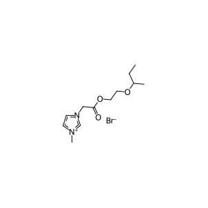 CCC(C)OCCOC(=O)Cn1cc[n+](C)c1.[Br-]